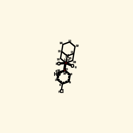 O=S(=O)(c1ccc(Cl)cc1)N1C2CCCC1CC(=NO)C2